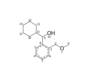 COCc1ccccc1C(O)C1CCCCC1